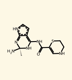 C[C@]1(N)N=c2[nH]ccc2=C(NC(=O)C2=CNCCS2)N1